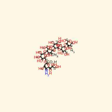 CC1[C@H](O)OC(CO)[C@@H](O[C@@H]2OC(CO)[C@@H](O)[C@H](O[C@H]3O[C@H](CO)[C@@H](O)C(O)C3O[C@@H]3OC(CO)[C@@H](O[C@@H]4OC(CO[C@]5(C(=O)O)C[C@@H](O)[C@@H](N)C([C@H](O)[C@H](O)CO)O5)[C@H](O)C(O)[C@@H]4O)C(O)[C@@H]3C)C2O)[C@@H]1O